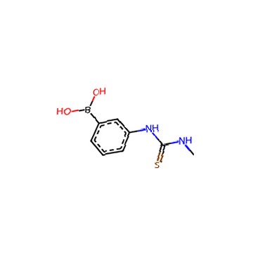 CNC(=S)Nc1cccc(B(O)O)c1